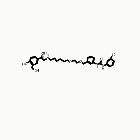 CCc1cccc(NC(=O)Nc2cccc(COCCOCCCCCCNC[C@H](O)c3ccc(O)c(CO)c3)c2)c1